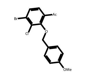 COc1ccc(COc2c(C(C)=O)ccc(Br)c2Cl)cc1